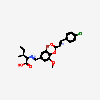 CCC(C)C(/N=C/c1cc(Br)c(OC(=O)/C=C/c2ccc(Cl)cc2)c(OC)c1)C(=O)O